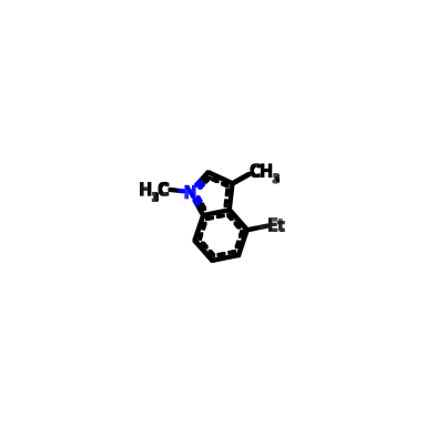 CCc1cccc2c1c(C)cn2C